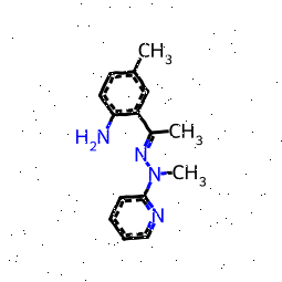 C/C(=N\N(C)c1ccccn1)c1cc(C)ccc1N